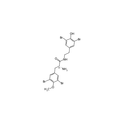 COc1c(Br)cc(C[C@@H](N)C(=O)NCCc2cc(Br)c(O)c(Br)c2)cc1Br